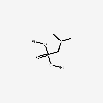 CCOP(=O)(CN(C)C)OCC